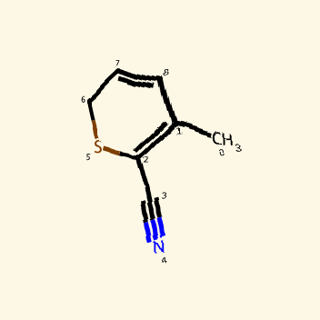 CC1=C(C#N)SCC=C1